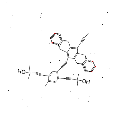 CC#Cc1c2c(c(C#Cc3cc(C#CC(C)(C)O)c(C)cc3C#CC(C)(C)O)c3c1C1c4ccccc4C3c3ccccc31)C1c3ccccc3C2c2ccccc21